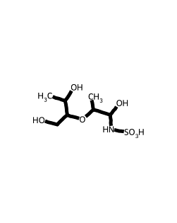 CC(O)C(CO)OC(C)C(O)NS(=O)(=O)O